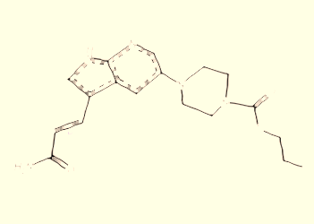 CCCOC(=O)N1CCN(c2cnc3[nH]cc(/C=C/C(N)=O)c3c2)CC1